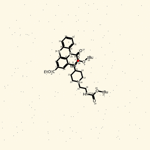 CCOC(=O)c1cc2c(c(N(C(=O)OC(C)(C)C)C3CCN(CCNC(=O)OC(C)(C)C)CC3)c1)N(C(=O)OC(C)(C)C)c1ccccc1S2